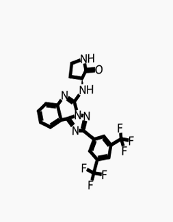 O=C1NCC[C@H]1Nc1nc2ccccc2c2nc(-c3cc(C(F)(F)F)cc(C(F)(F)F)c3)nn12